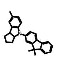 Cc1ccc2c(c1)C1CCCC1N2c1ccc2c(c1)C(C)(C)c1ccccc1-2